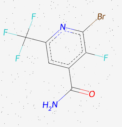 NC(=O)c1cc(C(F)(F)F)nc(Br)c1F